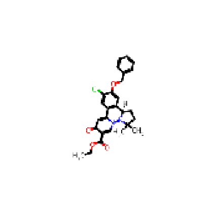 CCOC(=O)c1cn2c(cc1=O)-c1cc(Cl)c(OCc3ccccc3)cc1[C@H]1CCC(C)(C)N12